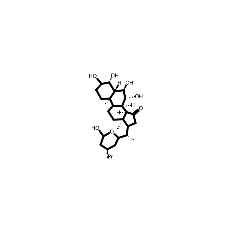 CC(C)[C@H]1CC(O)OC([C@@H](C)C2CC(=O)[C@@H]3[C@H]4C(CC[C@]23C)[C@@]2(C)CCC(O)[C@H](O)[C@@H]2[C@@H](O)[C@@H]4O)C1